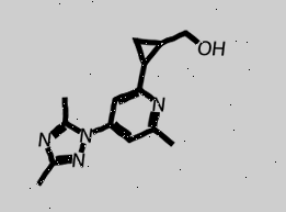 Cc1cc(-n2nc(C)nc2C)cc(C2CC2CO)n1